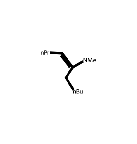 CCC/C=C(\CCCCC)NC